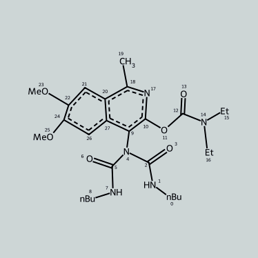 CCCCNC(=O)N(C(=O)NCCCC)c1c(OC(=O)N(CC)CC)nc(C)c2cc(OC)c(OC)cc12